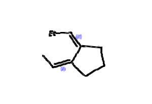 C/C=C1/CCC/C1=C/CC